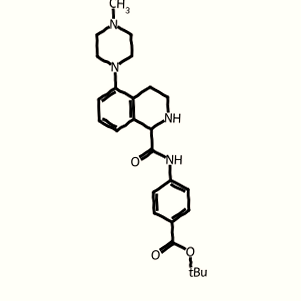 CN1CCN(c2cccc3c2CCNC3C(=O)Nc2ccc(C(=O)OC(C)(C)C)cc2)CC1